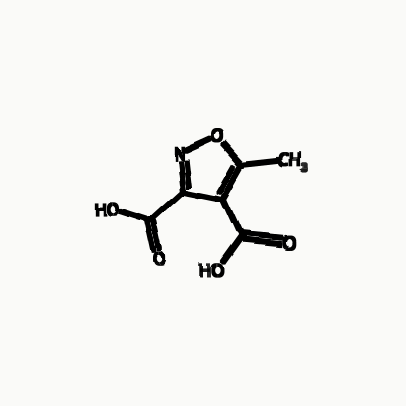 Cc1onc(C(=O)O)c1C(=O)O